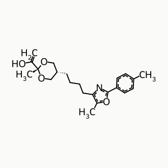 C=C(O)[C@]1(C)OC[C@H](CCCCc2nc(-c3ccc(C)cc3)oc2C)CO1